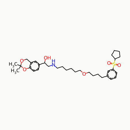 CC1(C)OCc2cc(C(O)CNCCCCCCOCCCCc3cccc(S(=O)(=O)C4CCCC4)c3)ccc2O1